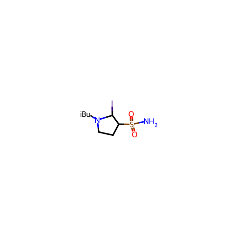 CCC(C)N1CCC(S(N)(=O)=O)C1I